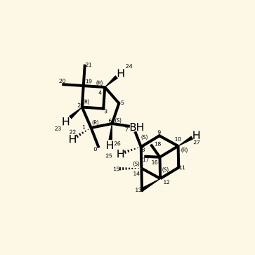 C[C@H]1[C@H]2C[C@@H](C[C@@H]1B[C@H]1C[C@@H]3C[C@@]4(C[C@@]14C)C3(C)C)C2(C)C